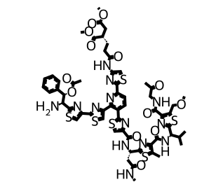 CNC(=O)C[C@H](NC(=O)c1csc(-c2ccc(-c3nc(NC(=O)CC[C@@H](CC(=O)OC)C(=O)OC)cs3)nc2-c2csc(-c3csc([C@@H](N)[C@@H](OC(C)=O)c4ccccc4)n3)n2)n1)c1nc(C(=O)N[C@H](c2nc(C(=O)NCC(C)=O)c(COC)s2)C(C)C)c(C)s1